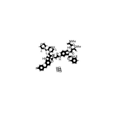 CN[C@@H](C)C(=O)N[C@H](C(=O)N1Cc2ccc(NC(=O)CNC(=O)[C@]3(C(=O)[C@H](C)N4C[C@@H](C)NC[C@@H]4CN4CCOC[C@H]4C)CNc4cc(Cc5ccc(F)cc5)ccc43)cc2[C@H]1C(=O)Nc1c(F)cccc1F)[C@@H](C)OC.Cl.Cl.Cl